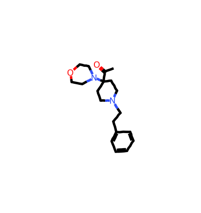 CC(=O)C1(N2CCOCC2)CCN(CCc2ccccc2)CC1